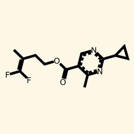 CC(CCOC(=O)c1cnc(C2CC2)nc1C)=C(F)F